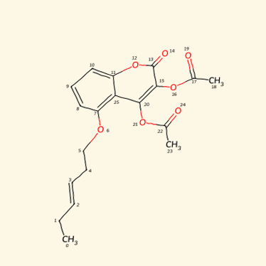 CCC=CCCOc1cccc2oc(=O)c(OC(C)=O)c(OC(C)=O)c12